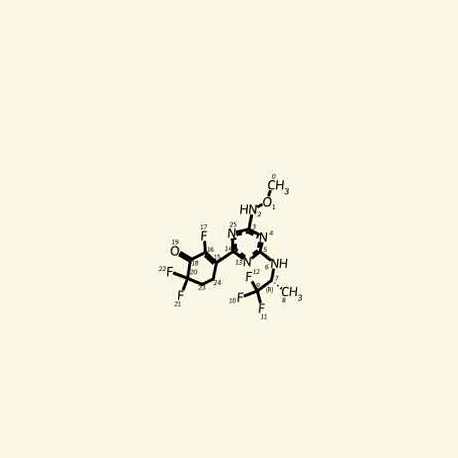 CONc1nc(N[C@H](C)C(F)(F)F)nc(C2=C(F)C(=O)C(F)(F)CC2)n1